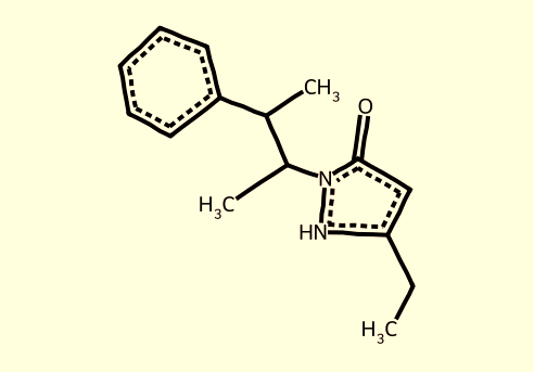 CCc1cc(=O)n(C(C)C(C)c2ccccc2)[nH]1